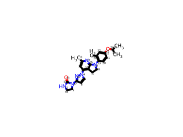 Cc1cc(-n2ccc(N3CCNC3=O)n2)c2c(n1)N(c1ccc(OC(C)C)cc1C)CC2